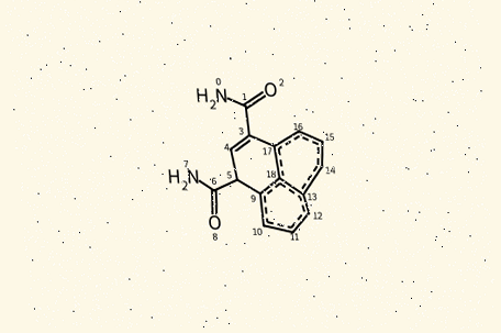 NC(=O)C1=CC(C(N)=O)c2cccc3cccc1c23